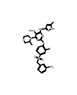 COc1c(Nc2cc(C)[nH]n2)nc(Sc2ccc(S(=O)(=O)Cc3cccc([N+](=O)[O-])c3)cc2F)nc1N1CCOCC1C